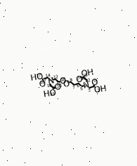 O=C(O)CN(CCCCOOCCN(CC(=O)O)CC(=O)O)CC(=O)O